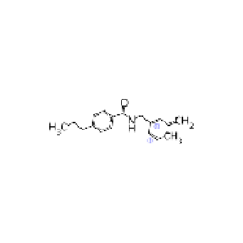 C=C/C=C(\C=C/C)CNC(=O)c1ccc(CCC)cc1